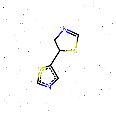 C1=NCC(c2cncs2)S1